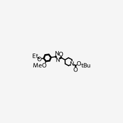 CCOc1ccc(-c2noc(C3CCN(C(=O)OC(C)(C)C)CC3)n2)cc1OC